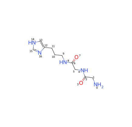 NCC(=O)NCC(=O)NCCCc1c[nH]cn1